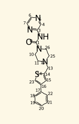 O=C(Nc1cnccn1)N1CCN(Cc2cc(-c3ccccc3)cs2)CC1